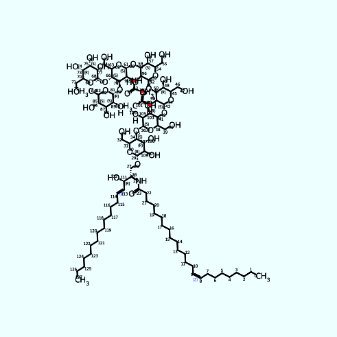 CCCCCCCC/C=C\CCCCCCCCCCCCCC(=O)N[C@@H](CO[C@@H]1OC(CO)[C@@H](O[C@@H]2OC(CO)[C@H](O[C@@H]3OC(CO)[C@H](O)[C@H](O[C@@H]4OC(CO)[C@H](O)[C@H](O[C@@H]5OC(CO)[C@@H](O[C@@H]6OC(CO)[C@H](O)[C@H](O)C6O)[C@H](O[C@H]6OC(C)[C@@H](O)C(O)[C@@H]6O)C5NC(C)=O)C4O)C3NC(C)=O)[C@H](O)C2O)[C@H](O)C1O)[C@H](O)/C=C/CCCCCCCCCCCCC